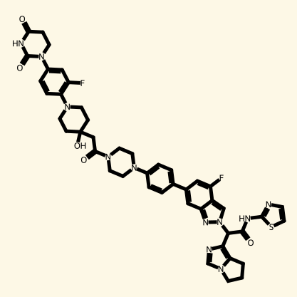 O=C1CCN(c2ccc(N3CCC(O)(CC(=O)N4CCN(c5ccc(-c6cc(F)c7cn(C(C(=O)Nc8nccs8)c8ncn9c8CCC9)nc7c6)cc5)CC4)CC3)c(F)c2)C(=O)N1